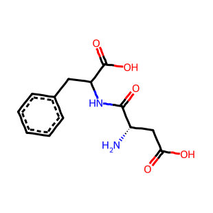 N[C@@H](CC(=O)O)C(=O)NC(Cc1ccccc1)C(=O)O